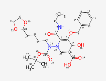 CCNC(=O)C1=C(OCc2ccccc2)C(O)C(C(=O)O)=CN1N(CCCCC1OCCO1)C(=O)OC(C)(C)C